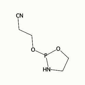 N#CCCOP1NCCO1